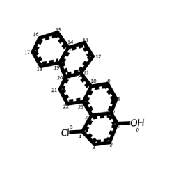 Oc1ccc(Cl)c2c1ccc1c3ccc4ccccc4c3ccc12